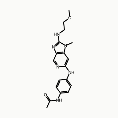 COCCNc1nc2cnc(Nc3ccc(NC(C)=O)cc3)cc2n1C